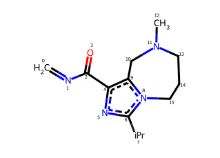 C=NC(=O)c1nc(C(C)C)n2c1CN(C)CCC2